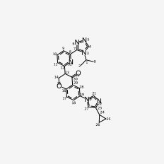 CC(C)n1cnnc1-c1cccc(C2COc3ccc(-n4cnc(C5CC5)c4)cc3C2=O)n1